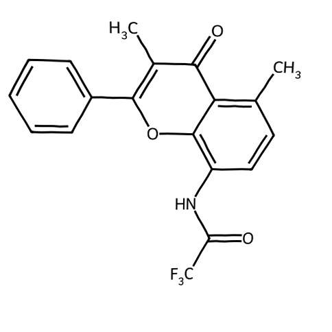 Cc1c(-c2ccccc2)oc2c(NC(=O)C(F)(F)F)ccc(C)c2c1=O